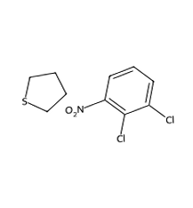 C1CCSC1.O=[N+]([O-])c1cccc(Cl)c1Cl